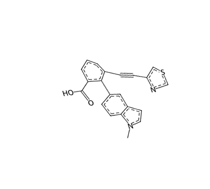 Cn1ccc2cc(-c3c(C#Cc4cscn4)cccc3C(=O)O)ccc21